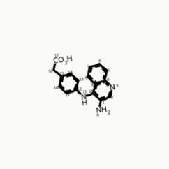 Nc1cnc2ccccc2c1Nc1ccc(CC(=O)O)cc1